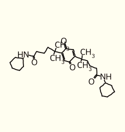 CC(C)(CCCC(=O)NC1CCCCC1)C1=CC(=O)C(C(C)(C)CCCC(=O)NC2CCCCC2)=CC1=O